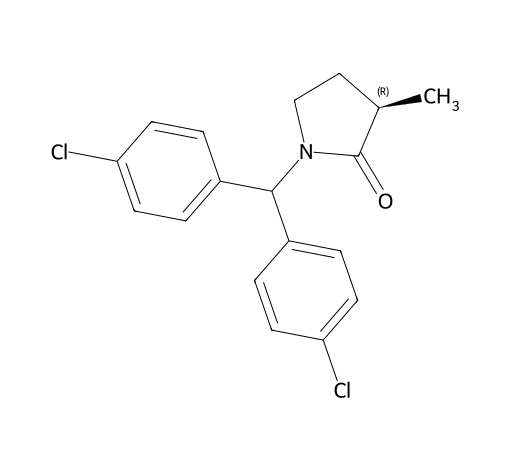 C[C@@H]1CCN(C(c2ccc(Cl)cc2)c2ccc(Cl)cc2)C1=O